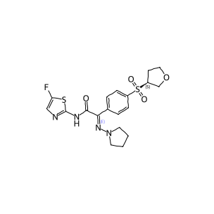 O=C(Nc1ncc(F)s1)/C(=N/N1CCCC1)c1ccc(S(=O)(=O)[C@H]2CCOC2)cc1